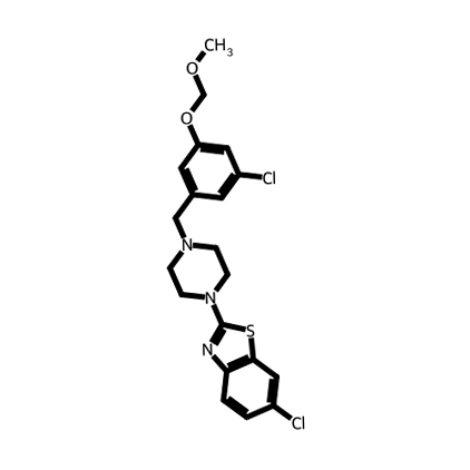 COCOc1cc(Cl)cc(CN2CCN(c3nc4ccc(Cl)cc4s3)CC2)c1